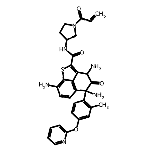 C=CC(=O)N1CCC(NC(=O)c2sc3c(N)ccc4c3c2C(N)C(=O)C4(N)c2ccc(Oc3ccccn3)cc2C)C1